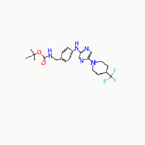 CC(C)(C)OC(=O)NCc1ccc(Nc2cnc(N3CCC(C(F)(F)F)CC3)cn2)cc1